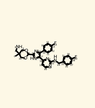 CC1(CN)COC(c2nc(-c3ccc(F)cc3)c(-c3ccnc(NCc4ccc(F)cc4)n3)[nH]2)OC1